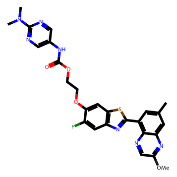 COc1cnc2c(-c3nc4cc(F)c(OCCOC(=O)Nc5cnc(N(C)C)nc5)cc4s3)cc(C)cc2n1